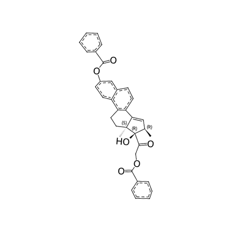 C[C@@H]1C=C2c3ccc4cc(OC(=O)c5ccccc5)ccc4c3CC[C@]2(C)[C@@]1(O)C(=O)COC(=O)c1ccccc1